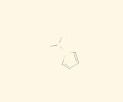 OB(O)[SH]1C=CC=C1